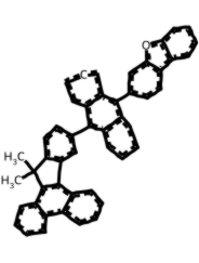 CC1(C)c2ccc(-c3c4ccccc4c(-c4ccc5c(c4)oc4ccccc45)c4ccccc34)cc2-c2c1c1ccccc1c1ccccc21